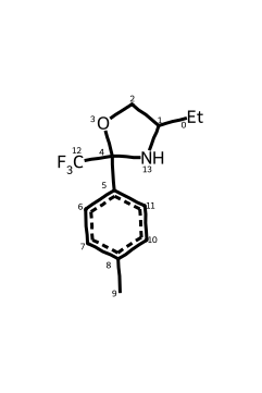 CCC1COC(c2ccc(C)cc2)(C(F)(F)F)N1